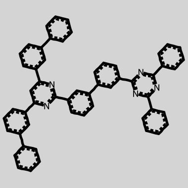 c1ccc(-c2cccc(-c3cc(-c4cccc(-c5ccccc5)c4)nc(-c4cccc(-c5cccc(-c6nc(-c7ccccc7)nc(-c7ccccc7)n6)c5)c4)n3)c2)cc1